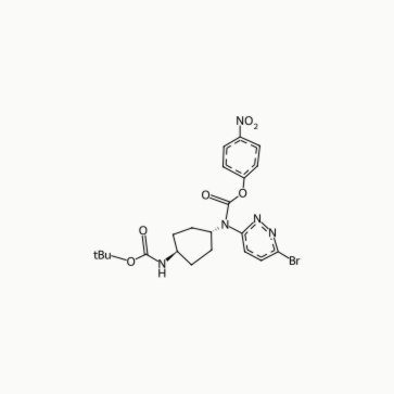 CC(C)(C)OC(=O)N[C@H]1CC[C@H](N(C(=O)Oc2ccc([N+](=O)[O-])cc2)c2ccc(Br)nn2)CC1